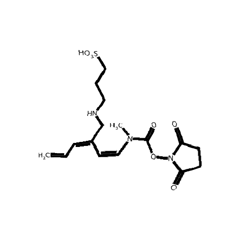 C=C/C=C(\C=C/N(C)C(=O)ON1C(=O)CCC1=O)CNCCCS(=O)(=O)O